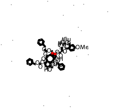 COc1ccc(C2O[C@@H](C(=O)O[C@H]3C[C@@]4(O)[C@@H](OC(=O)c5ccccc5)C5[C@](C)(C(=O)[C@H](OC(=O)OCc6ccccc6)C(=C3C)C4(C)C)[C@@H](OC(=O)OCc3ccccc3)C[C@H]3OC[C@@]53OC(C)=O)[C@H](CC(C)C)N2C(=O)OC(C)(C)C)c(OC)c1